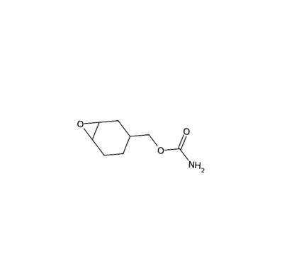 NC(=O)OCC1CCC2OC2C1